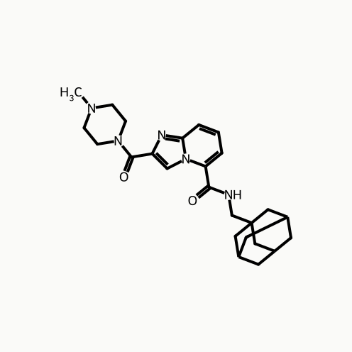 CN1CCN(C(=O)c2cn3c(C(=O)NCC45CC6CC(CC(C6)C4)C5)cccc3n2)CC1